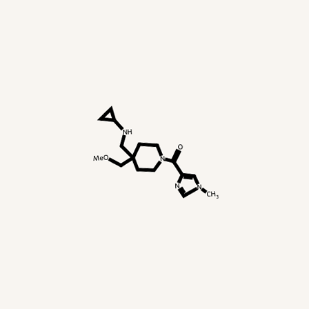 COCC1(CNC2CC2)CCN(C(=O)c2cn(C)cn2)CC1